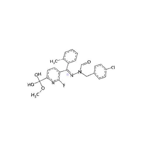 COC(O)(O)c1ccc(/C(=N/N(C=O)Cc2ccc(Cl)cc2)c2ccccc2C)c(F)n1